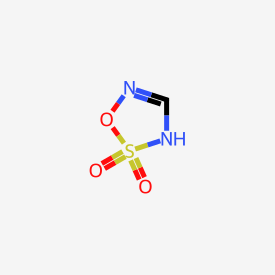 O=S1(=O)NC=NO1